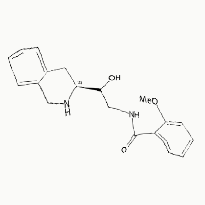 COc1ccccc1C(=O)NCC(O)[C@@H]1Cc2ccccc2CN1